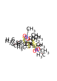 C=CCCCC(CC)(c1sc(-c2ccc3c4cccc5c(C(C)(CCC(C)/C=C\C)c6ccccc6)ccc(c6cccc2c36)c54)c2sc3c(c12)C(=O)N(CCCCCCCC)C3=O)C(CC)(CCCCCC)c1cc2c(-c3ccc(CC(CC)CCCC)s3)c3sc(-c4sc(C(C)(CCCCCC)c5ccccc5)c5c6c(sc45)C(=O)N(CCCCCCCC)C6=O)cc3c(-c3ccc(CC(CC)CCCC)s3)c2s1